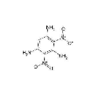 Nc1cc(N)c([N+](=O)[O-])c(N)c1[N+](=O)[O-]